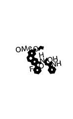 C=CCOc1cc2c(cc1OC)CCc1cc(-c3ccccc3F)c(C(=O)NC(CO)Cc3c[nH]c4ccccc34)cc1-2